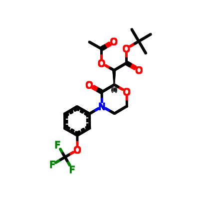 CC(=O)OC(C(=O)OC(C)(C)C)[C@H]1OCCN(c2cccc(OC(F)(F)F)c2)C1=O